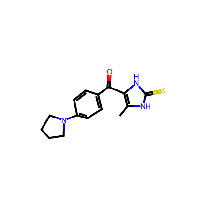 Cc1[nH]c(=S)[nH]c1C(=O)c1ccc(N2CCCC2)cc1